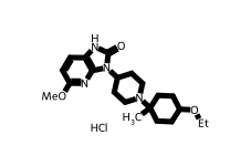 CCOC1CCC(C)(N2CCC(n3c(=O)[nH]c4ccc(OC)nc43)CC2)CC1.Cl